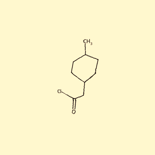 CC1CCC(CC(=O)Cl)CC1